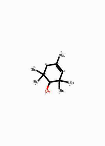 CCCCC1=CC(C(C)(C)C)(C(C)(C)C)C(O)C(C(C)(C)C)(C(C)(C)C)C1